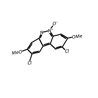 COc1cc2n[n+]([O-])c3cc(OC)c(Cl)cc3c2cc1Cl